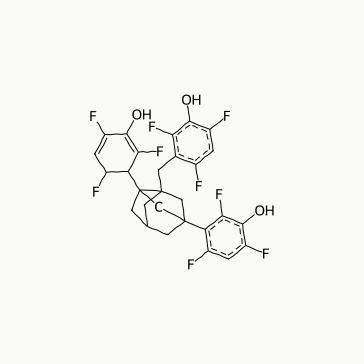 OC1=C(F)C(C23CC4CC(c5c(F)cc(F)c(O)c5F)(CC2(Cc2c(F)cc(F)c(O)c2F)C4)C3)C(F)C=C1F